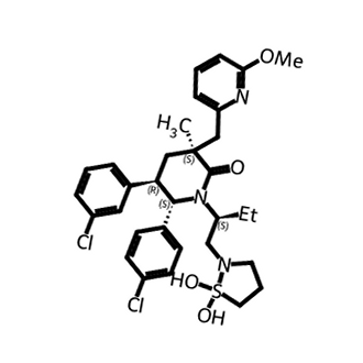 CC[C@@H](CN1CCCS1(O)O)N1C(=O)[C@](C)(Cc2cccc(OC)n2)C[C@H](c2cccc(Cl)c2)[C@H]1c1ccc(Cl)cc1